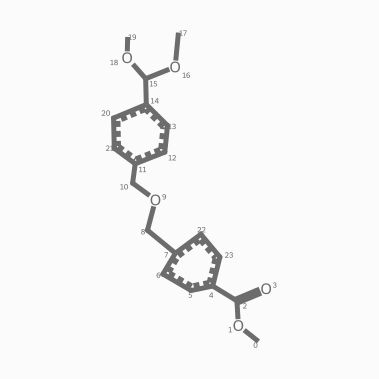 COC(=O)c1ccc(COCc2ccc(C(OC)OC)cc2)cc1